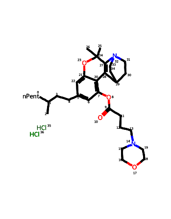 CCCCCC(C)CCc1cc(OC(=O)CCCN2CCOCC2)c2c(c1)OC(C)(C)C1=C2C2CCN1CC2.Cl.Cl